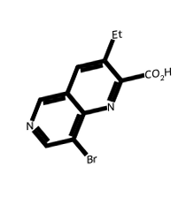 CCc1cc2cncc(Br)c2nc1C(=O)O